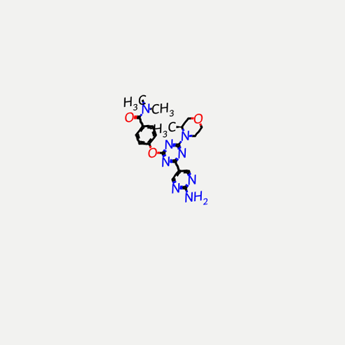 C[C@H]1COCCN1c1nc(Oc2ccc(C(=O)N(C)C)cc2)nc(-c2cnc(N)nc2)n1